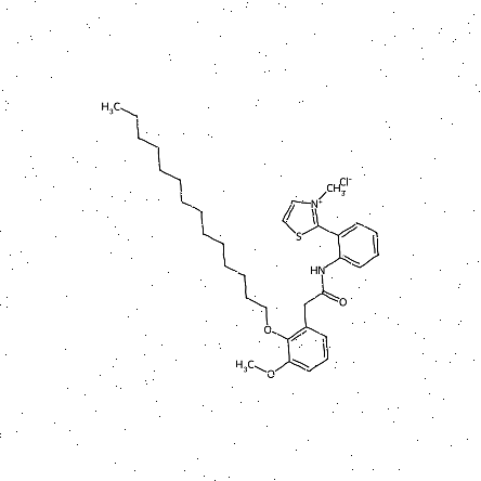 CCCCCCCCCCCCCCOc1c(CC(=O)Nc2ccccc2-c2scc[n+]2C)cccc1OC.[Cl-]